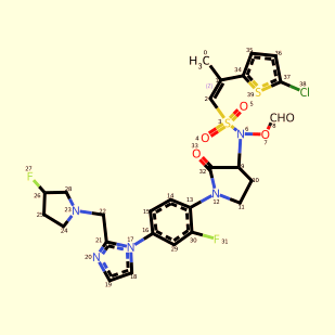 C/C(=C/S(=O)(=O)N(OC=O)C1CCN(c2ccc(-n3ccnc3CN3CCC(F)C3)cc2F)C1=O)c1ccc(Cl)s1